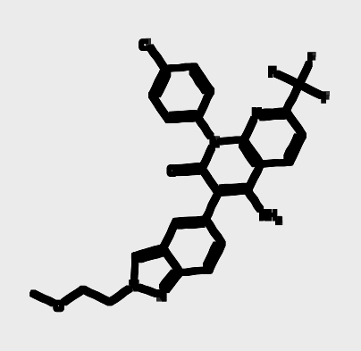 COCCn1cc2cc(-c3c(N)c4ccc(C(F)(F)F)nc4n(-c4ccc(Cl)cc4)c3=O)ccc2n1